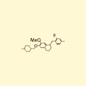 COc1cc2c(cc1OCC1CCC(C)CC1)CCCC2Cc1ccc(C)cc1F